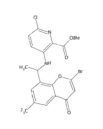 COC(=O)c1nc(Cl)ccc1NC(C)c1cc(C(F)(F)F)cc2c(=O)cc(Br)oc12